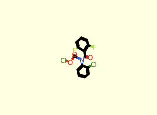 O=C(OCl)N(C(=O)c1c(F)cccc1F)c1ccccc1Cl